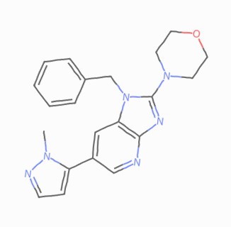 Cn1nccc1-c1cnc2nc(N3CCOCC3)n(Cc3ccccc3)c2c1